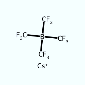 FC(F)(F)[B-](C(F)(F)F)(C(F)(F)F)C(F)(F)F.[Cs+]